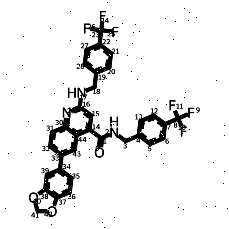 O=C(NCc1ccc(C(F)(F)F)cc1)c1cc(NCc2ccc(C(F)(F)F)cc2)nc2ccc(-c3ccc4c(c3)OCO4)cc12